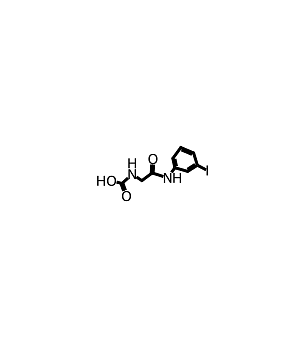 O=C(O)NCC(=O)Nc1cccc(I)c1